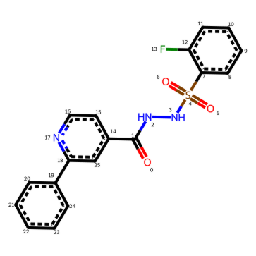 O=C(NNS(=O)(=O)c1ccccc1F)c1ccnc(-c2ccccc2)c1